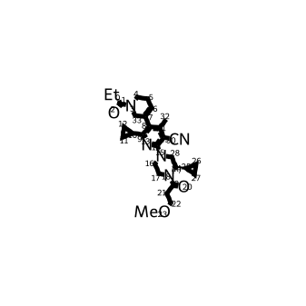 CCC(=O)N1CCC=C(c2c(C3CC3)nc(N3CCN(C(=O)CCOC)[C@H](C4CC4)C3)c(C#N)c2C)C1